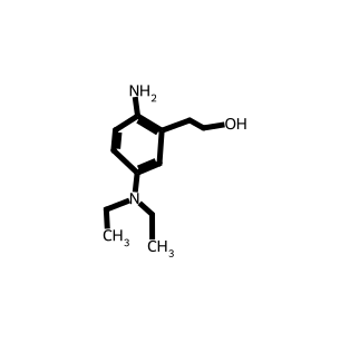 CCN(CC)c1ccc(N)c(CCO)c1